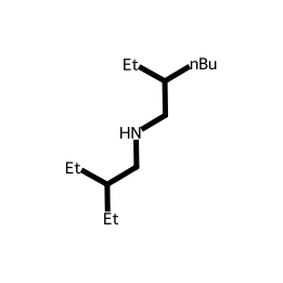 CCCCC(CC)CNCC(CC)CC